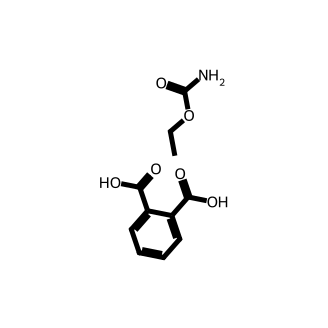 CCOC(N)=O.O=C(O)c1ccccc1C(=O)O